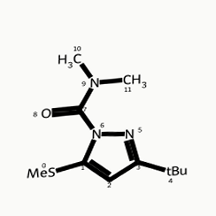 CSc1cc(C(C)(C)C)nn1C(=O)N(C)C